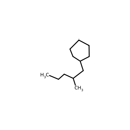 CCCC(C)CC1CC[CH]CC1